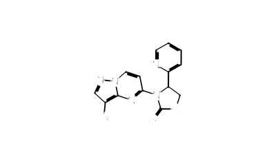 O=C1OCC(c2ccccn2)N1c1ccn2ncc(Br)c2n1